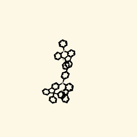 c1ccc(N2c3ccccc3[C@]3(c4ccccc4)c4cc(-c5ccc(N(c6ccc7c(c6)C(c6ccccc6)(c6ccccc6)c6ccccc6-7)c6cccc7c6sc6ccccc67)cc5)ccc4-c4cccc2c43)cc1